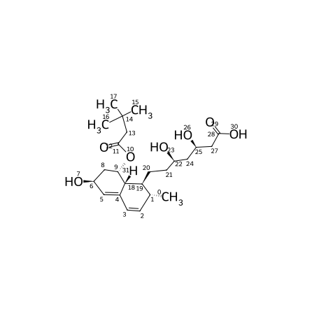 C[C@@H]1C=CC2=C[C@@H](O)C[C@H](OC(=O)CC(C)(C)C)[C@@H]2[C@H]1CC[C@@H](O)C[C@@H](O)CC(=O)O